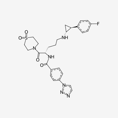 O=C(N[C@@H](CCCN[C@@H]1C[C@H]1c1ccc(F)cc1)C(=O)N1CCS(=O)(=O)CC1)c1ccc(-n2ccnn2)cc1